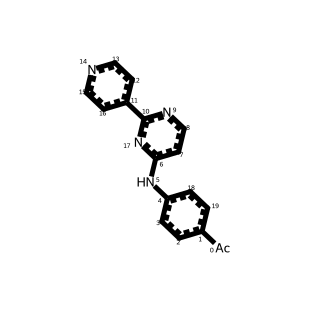 CC(=O)c1ccc(Nc2ccnc(-c3ccncc3)n2)cc1